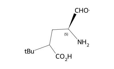 CC(C)(C)C(C[C@H](N)[C]=O)C(=O)O